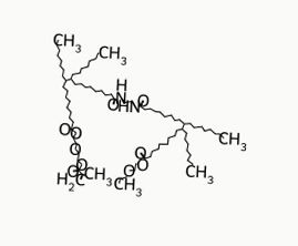 C=C(C)C(=O)OCCOCCOC(=O)CCCCCCCCC(CCCCCCCC)C(CCCCCCCC)CCCCCCCCC(=O)NCCNC(=O)CCCCCCCCC(CCCCCCCC)C(CCCCCCCC)CCCCCCCCC(=O)OCCOCCC